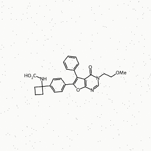 COCCn1cnc2oc(-c3ccc(C4(NC(=O)O)CCC4)cc3)c(-c3ccccc3)c2c1=O